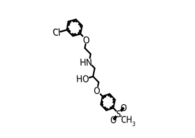 CS(=O)(=O)c1ccc(OCC(O)CNCCOc2cccc(Cl)c2)cc1